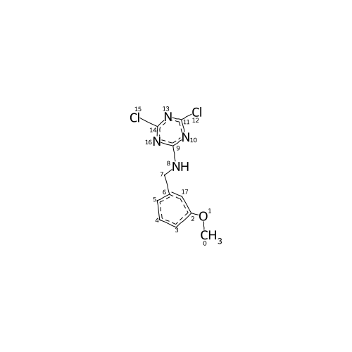 COc1cccc(CNc2nc(Cl)nc(Cl)n2)c1